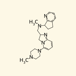 CN1CCN(C2=CC=CC3=NC(CN(C)C4CCc5cccnc54)CN23)CC1